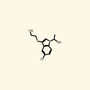 CC(S)n1cc(SCCC#N)c2cc(Cl)ccc21